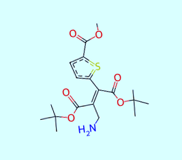 COC(=O)c1ccc(C(C(=O)OC(C)(C)C)=C(CN)C(=O)OC(C)(C)C)s1